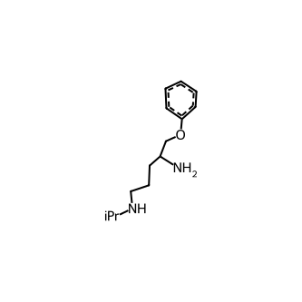 CC(C)NCCCC(N)COc1ccccc1